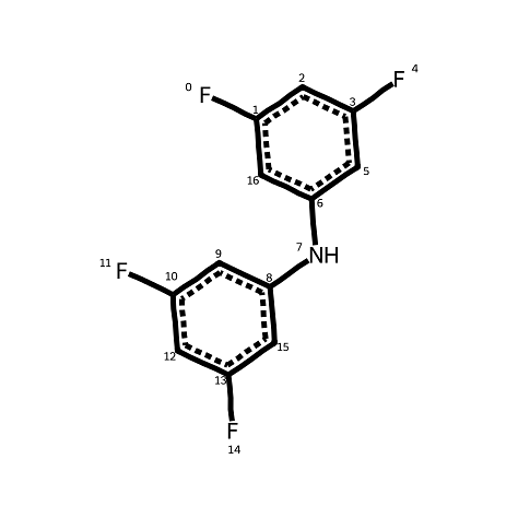 Fc1cc(F)cc(Nc2cc(F)cc(F)c2)c1